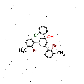 Cc1cccc(C2=CC(O)(c3ccccc3Cl)CC(c3cccc(C)c3Br)C2)c1Br